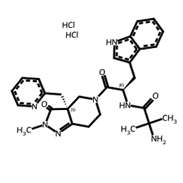 CN1N=C2CCN(C(=O)[C@@H](Cc3c[nH]c4ccccc34)NC(=O)C(C)(C)N)C[C@]2(Cc2ccccn2)C1=O.Cl.Cl